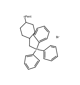 CCCCCC1CCC(C[P+](c2ccccc2)(c2ccccc2)c2ccccc2)CC1.[Br-]